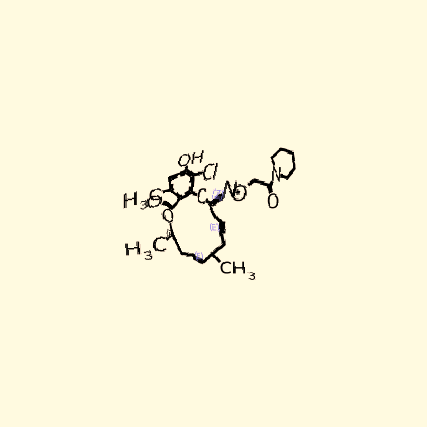 Cc1cc(O)c(Cl)c2c1C(=O)O[C@H](C)C/C=C/C(C)C/C=C/C(=N\OCC(=O)N1CCCCC1)C2